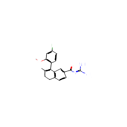 COc1cc(F)ccc1C1=C(C)CCc2ccc(C(=O)N=C(N)N)cc21